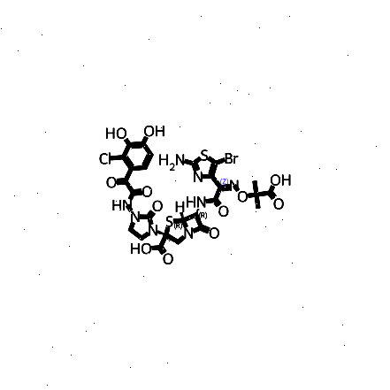 CC(C)(O/N=C(\C(=O)N[C@@H]1C(=O)N2C[C@@](C(=O)O)(N3CCN(NC(=O)C(=O)c4ccc(O)c(O)c4Cl)C3=O)S[C@H]12)c1nc(N)sc1Br)C(=O)O